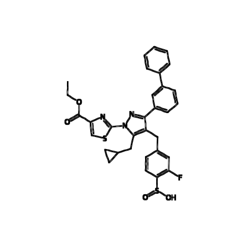 CCOC(=O)c1csc(-n2nc(-c3cccc(-c4ccccc4)c3)c(Cc3ccc(S(=O)O)c(F)c3)c2CC2CC2)n1